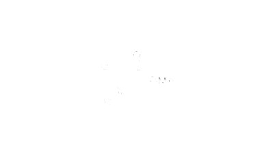 COC(=O)C1=COC=CO1